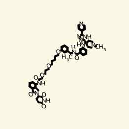 C[C@@H](NC(=O)c1cccc(NC2(c3nnc(-c4ccncc4)[nH]3)CCN(C)CC2)c1)c1cccc(OCCCCCOCCCOCC(=O)Nc2cccc3c2CN(C2CCC(=O)NC2=O)C3=O)c1